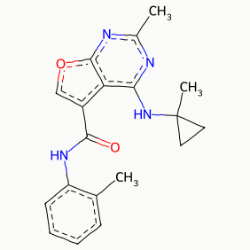 Cc1nc(NC2(C)CC2)c2c(C(=O)Nc3ccccc3C)coc2n1